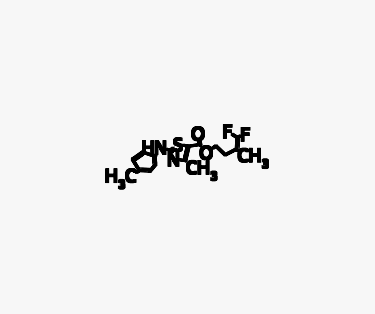 CC(CCOC(=O)c1sc(Nc2ccc(C)cc2)nc1C)=C(F)F